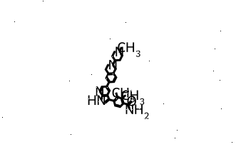 Cc1c(C(N)=O)ccc(-c2c[nH]c3ncc(-c4ccc5c(c4)CCN(C4CCN(C)CC4)C5)cc23)c1C